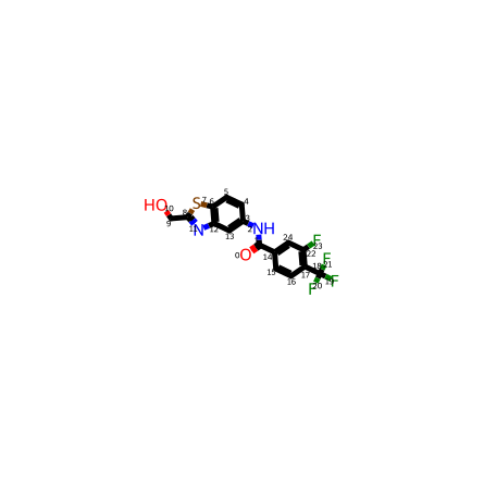 O=C(Nc1ccc2sc(CO)nc2c1)c1ccc(C(F)(F)F)c(F)c1